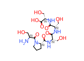 N[C@@H](CO)C(=O)N1CCC[C@H]1C(=O)N[C@@H](CO)C(=O)N[C@@H](CO)C(=O)N[C@@H](CO)C(=O)O